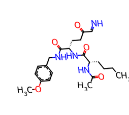 CCCC[C@H](NC(C)=O)C(=O)N[C@@H](CCC(=O)C=N)C(=O)NCc1ccc(OC)cc1